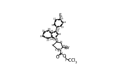 O=C(OCC(Cl)(Cl)Cl)N1CCC(n2cc(-c3ccc(F)cc3)c3ccccc32)CC1Br